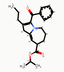 CCCC1=C(C(=O)c2ccccc2)N2CCCC(C(=O)OC(C)C)C=C2C1